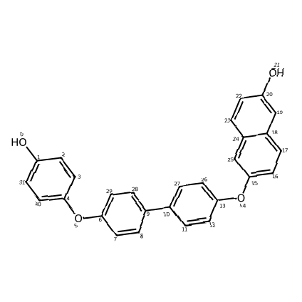 Oc1ccc(Oc2ccc(-c3ccc(Oc4ccc5cc(O)ccc5c4)cc3)cc2)cc1